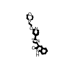 O=c1[nH]c2ccccc2cc1-c1csc(-c2ccnc(OCCN3CCOCC3)c2)n1